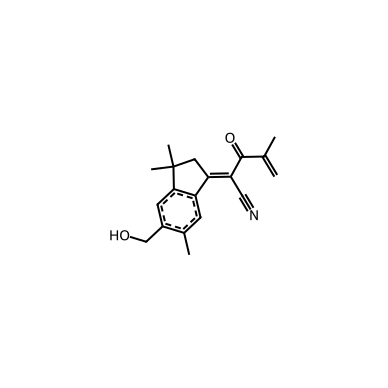 C=C(C)C(=O)/C(C#N)=C1\CC(C)(C)c2cc(CO)c(C)cc21